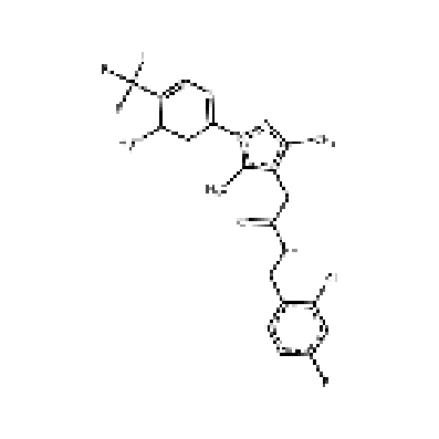 Cc1nn(C2=NC=C(C(F)(F)F)C(C)C2)c(C)c1CC(=O)NCc1ccc(F)cc1Cl